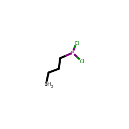 BCCCP(Cl)Cl